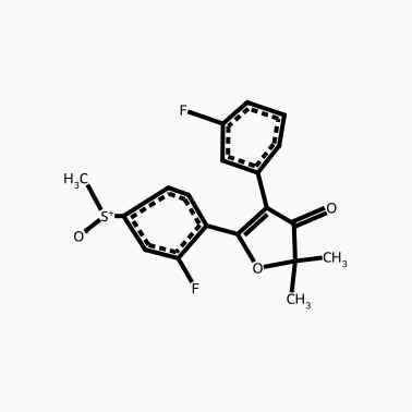 C[S+]([O-])c1ccc(C2=C(c3cccc(F)c3)C(=O)C(C)(C)O2)c(F)c1